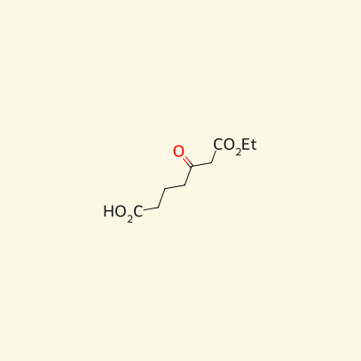 CCOC(=O)CC(=O)CCCC(=O)O